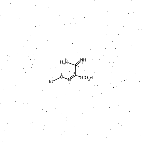 CCON=C(C(=N)N)C(=O)O